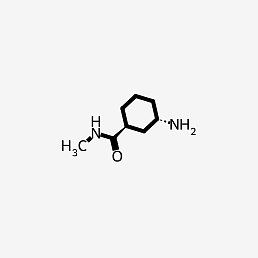 CNC(=O)[C@H]1CCC[C@H](N)C1